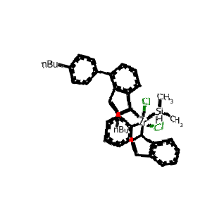 CCCCC1=Cc2c(-c3ccc(CCCC)cc3)cccc2[CH]1[Zr]([Cl])([Cl])([c]1ccccc1)([CH]1C=Cc2ccccc21)[SiH](C)C